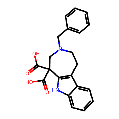 O=C(O)C1(C(=O)O)CN(Cc2ccccc2)CCc2c1[nH]c1ccccc21